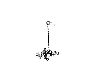 CC#CC#CC#CC#CC#CC#CC#CC#CC#CC#CC#CC#CC(=O)N[C@@H](CO[C@H]1OC(COCc2ccccc2)[C@H](C)[C@H](C)C1OCc1ccccc1)[C@H](O)/C=C/CCCC